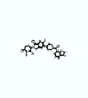 O=C1CCC(N2Cc3cc(C4CCN(C(=O)c5cccc6c5OCC6)CC4)c(F)cc3C2=O)C(=O)N1